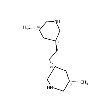 C[C@@H]1CNC[C@@H](CC[C@H]2CNC[C@@H](C)C2)C1